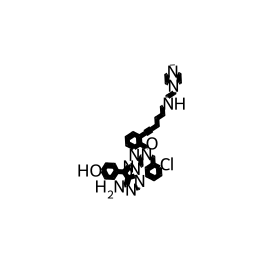 CN1CCN(CCNCCCCC#Cc2cccc3nc(Cn4nc(-c5ccc(O)cc5)c5c(N)ncnc54)n(Cc4ccccc4Cl)c(=O)c23)CC1